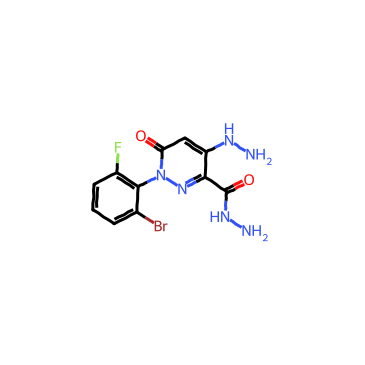 NNC(=O)c1nn(-c2c(F)cccc2Br)c(=O)cc1NN